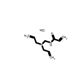 C=CCN(CC=C)CNC(=O)C=C.Cl